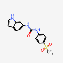 O=C(Nc1ccc(S(=O)(=O)C(F)(F)F)cc1)Nc1ccc2cc[nH]c2c1